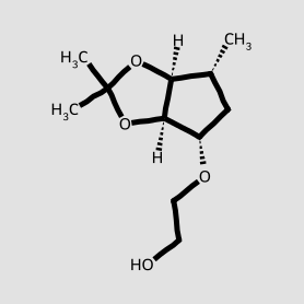 C[C@@H]1C[C@H](OCCO)[C@H]2OC(C)(C)O[C@H]21